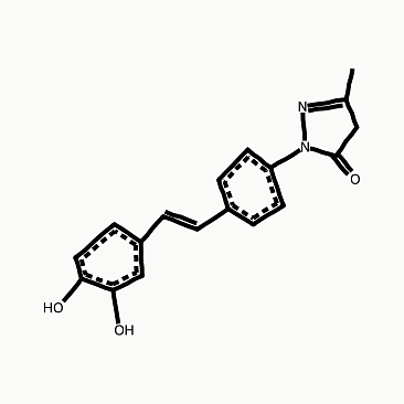 CC1=NN(c2ccc(C=Cc3ccc(O)c(O)c3)cc2)C(=O)C1